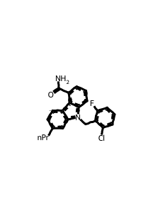 CCCc1c[c]c2c3c(C(N)=O)cccc3n(Cc3c(F)cccc3Cl)c2c1